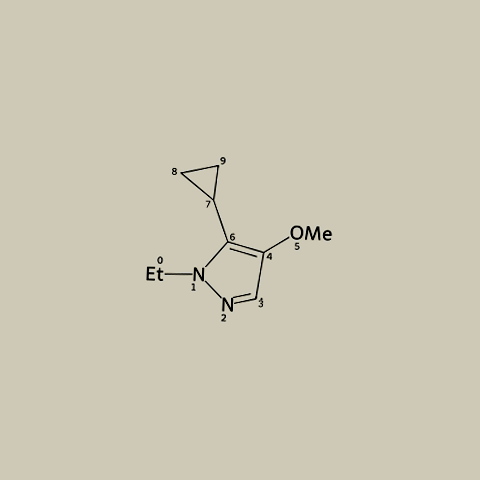 CCn1n[c]c(OC)c1C1CC1